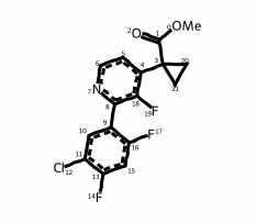 COC(=O)C1(c2ccnc(-c3cc(Cl)c(F)cc3F)c2F)CC1